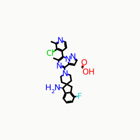 Cc1nccc(-c2c(C)nc(N3CCC4(CC3)Cc3c(F)cccc3[C@H]4N)c3ccnn23)c1Cl.O=CO